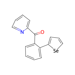 O=C(c1ccccn1)c1ccccc1-c1ccc[se]1